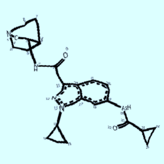 O=C(NC1CN2CCC1CC2)c1nn(C2CC2)c2cc([AsH]C(=O)C3CC3)ccc12